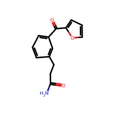 NC(=O)CCc1cccc(C(=O)c2ccco2)c1